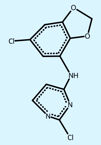 Clc1cc(Nc2ccnc(Cl)n2)c2c(c1)OCO2